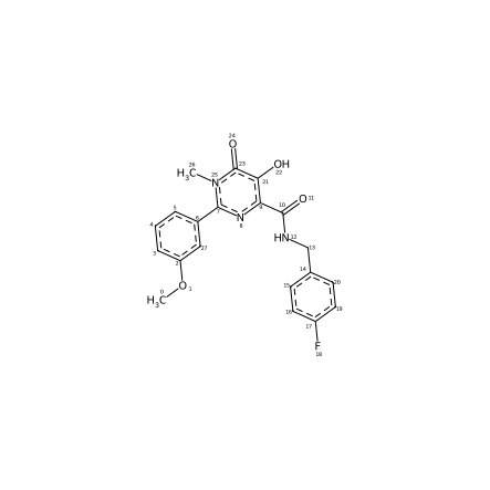 COc1cccc(-c2nc(C(=O)NCc3ccc(F)cc3)c(O)c(=O)n2C)c1